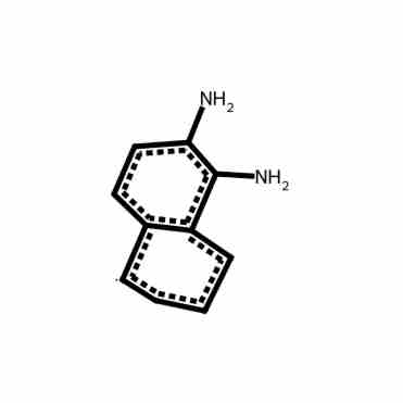 Nc1ccc2[c]cccc2c1N